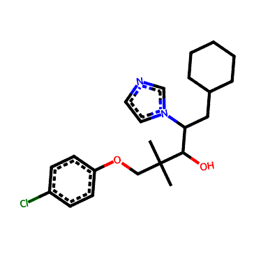 CC(C)(COc1ccc(Cl)cc1)C(O)C(CC1CCCCC1)n1ccnc1